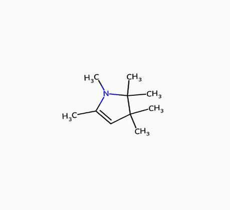 CC1=CC(C)(C)C(C)(C)N1C